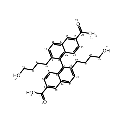 CC(=O)c1ccc2c(-c3c(CCCCO)ccc4cc(C(C)=O)ccc34)c(CCCCO)ccc2c1